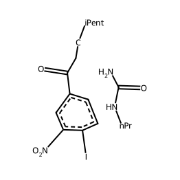 CCCC(C)CCC(=O)c1ccc(I)c([N+](=O)[O-])c1.CCCNC(N)=O